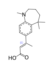 C/C(=C\C(=O)O)c1ccc2c(c1)C(C)(C)CCCN2C